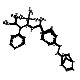 CC(ON(C(c1ccccc1)C(C)C)C(C)(C)C)c1ccc(COC2CC3C=CC2C3)cc1